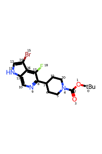 CC(C)(C)OC(=O)N1CCC(c2ncc3[nH]cc(Br)c3c2F)CC1